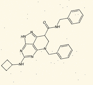 O=C(NCc1ccccc1)C1CN(Cc2ccccc2)c2nc(NC3CCC3)nc3[nH]nc1c23